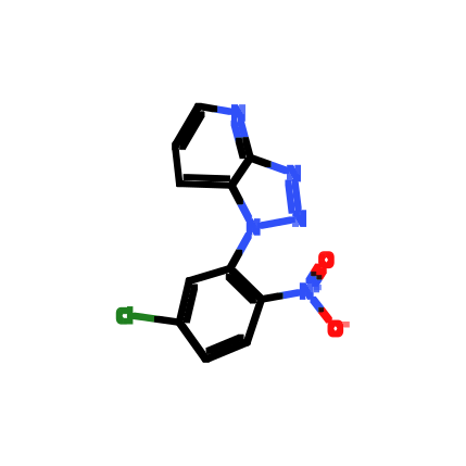 O=[N+]([O-])c1ccc(Cl)cc1-n1nnc2ncccc21